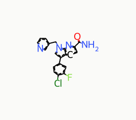 NC(=O)c1ccc2c(-c3ccc(Cl)c(F)c3)cn(Cc3cccnc3)c2n1